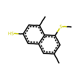 CSc1cc(C)cc2cc(S)cc(C)c12